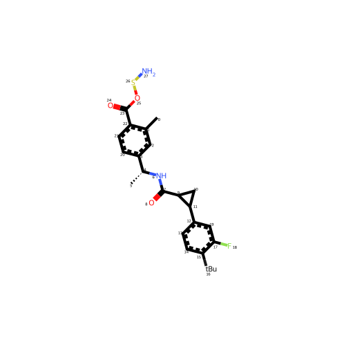 Cc1cc([C@@H](C)NC(=O)C2CC2c2ccc(C(C)(C)C)c(F)c2)ccc1C(=O)OSN